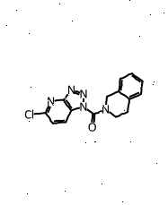 O=C(N1CCc2ccccc2C1)n1nnc2nc(Cl)ccc21